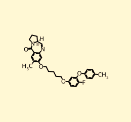 Cc1ccc(Oc2cc(OCCCCCOc3cc4c(cc3C)C(=O)N3CCC[C@H]3C=N4)ccc2F)cc1